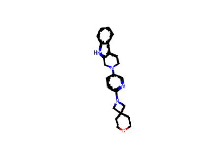 c1ccc2c3c([nH]c2c1)CN(c1ccc(N2CC4(CCOCC4)C2)nc1)CC3